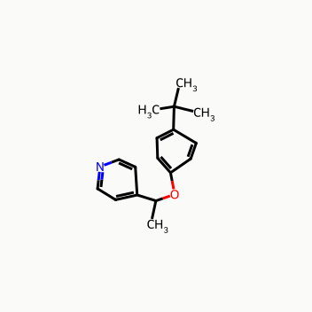 CC(Oc1ccc(C(C)(C)C)cc1)c1ccncc1